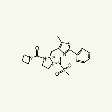 Cc1sc(-c2ccccc2)nc1C[C@H]1[C@@H](NS(C)(=O)=O)CCN1C(=O)N1CCC1